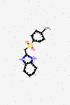 Cc1ccc(S(=O)(=O)Cc2nc3ccccc3[nH]2)cc1